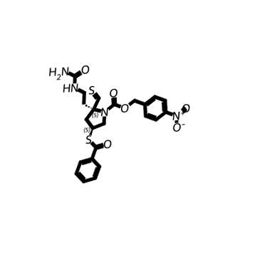 NC(=O)NCC[C@@]1(C=S)C[C@H](SC(=O)c2ccccc2)CN1C(=O)OCc1ccc([N+](=O)[O-])cc1